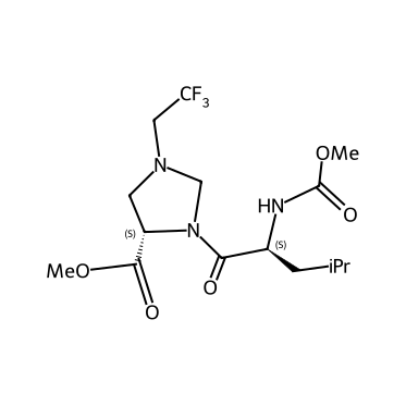 COC(=O)N[C@@H](CC(C)C)C(=O)N1CN(CC(F)(F)F)C[C@H]1C(=O)OC